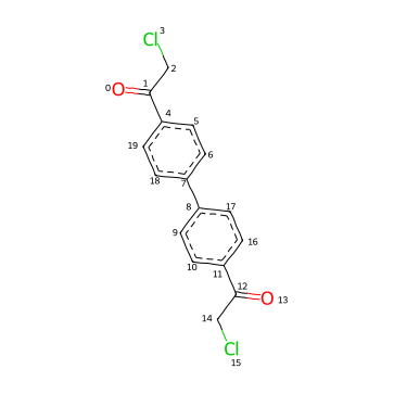 O=C(CCl)c1ccc(-c2ccc(C(=O)CCl)cc2)cc1